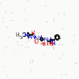 CN1CC(C(=O)NNC(=O)[C@H]2C[C@H](NC(O)c3cc(-c4ccccc4)no3)C2)C1